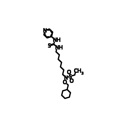 CCS(=O)(=O)N(CCCCCCCNC(=S)Nc1ccncc1)OCC1CCCCC1